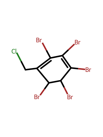 ClCC1=C(Br)C(Br)=C(Br)C(Br)C1Br